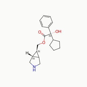 O=C(OC[C@H]1C2CNC[C@@H]21)[C@@](O)(c1ccccc1)C1CCCC1